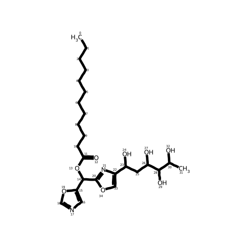 CCCCCCCCCCCC(=O)OC(c1cnco1)c1nc(C(O)CC(O)C(O)C(C)O)co1